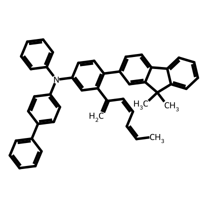 C=C(/C=C\C=C/C)c1cc(N(c2ccccc2)c2ccc(-c3ccccc3)cc2)ccc1-c1ccc2c(c1)C(C)(C)c1ccccc1-2